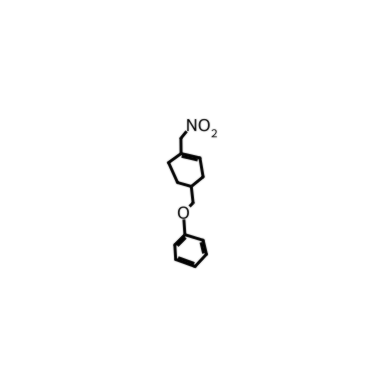 O=[N+]([O-])CC1=CCC(COc2ccccc2)CC1